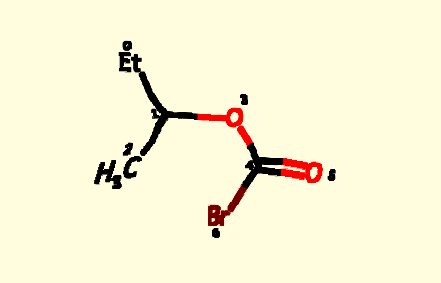 CCC(C)OC(=O)Br